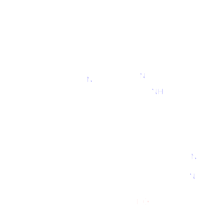 CC(O)C1N=Nc2cc(-c3cc(-c4ccc(-c5ccccc5)cn4)n[nH]3)ccc21